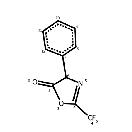 O=C1OC(C(F)(F)F)=NC1c1ccccc1